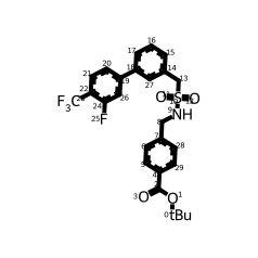 CC(C)(C)OC(=O)c1ccc(CNS(=O)(=O)Cc2cccc(-c3ccc(C(F)(F)F)c(F)c3)c2)cc1